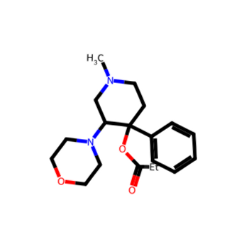 CCC(=O)OC1(c2ccccc2)CCN(C)CC1N1CCOCC1